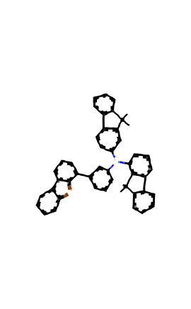 CC1(C)c2ccccc2-c2ccc(N(c3cccc(-c4cccc5c4sc4ccccc45)c3)c3cccc4c3C(C)(C)c3ccccc3-4)cc21